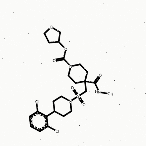 O=C(OC1CCOC1)N1CCC(CS(=O)(=O)N2CCC(c3c(Cl)cccc3Cl)CC2)(C(=O)NO)CC1